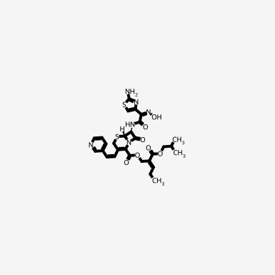 CC/C=C(\COC(=O)C1=C(/C=C\c2cccnc2)CS[C@@H]2[C@H](NC(=O)/C(=N\O)c3csc(N)n3)C(=O)N12)C(=O)OCC(C)C